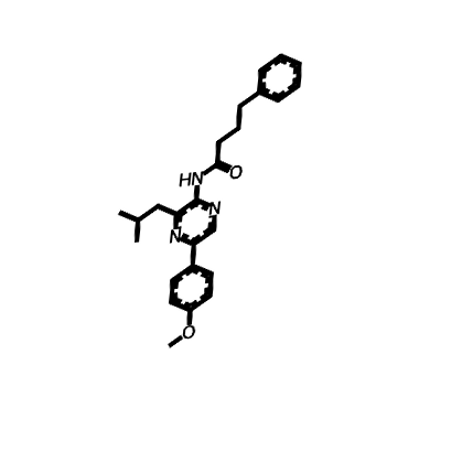 COc1ccc(-c2cnc(NC(=O)CCCc3ccccc3)c(CC(C)C)n2)cc1